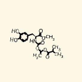 COC(=O)[C@H](Cc1ccc(O)c(O)c1)NC(=O)OC(C)OC(=O)C(C)C